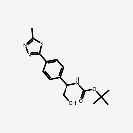 Cc1nnc(-c2ccc([C@H](CO)NC(=O)OC(C)(C)C)cc2)s1